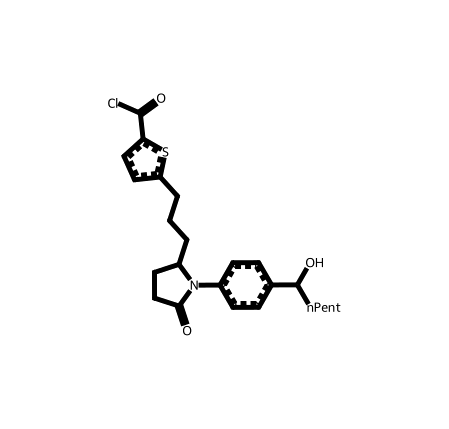 CCCCCC(O)c1ccc(N2C(=O)CCC2CCCc2ccc(C(=O)Cl)s2)cc1